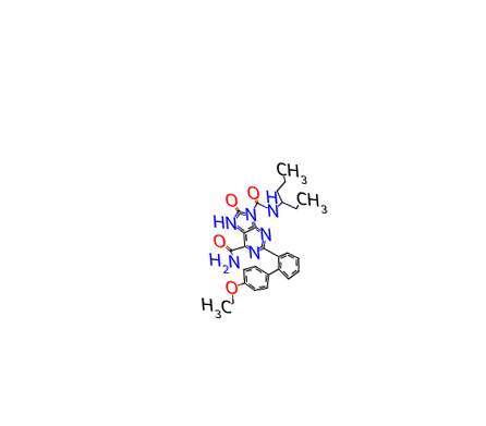 CCCC(CC)NC(=O)n1c(=O)[nH]c2c(C(N)=O)nc(-c3ccccc3-c3ccc(OCC)cc3)nc21